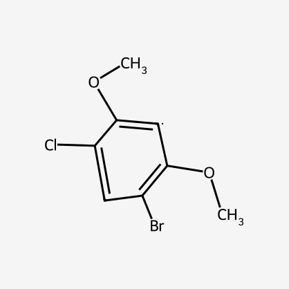 COc1[c]c(OC)c(Br)cc1Cl